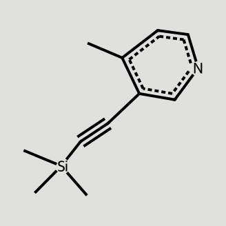 Cc1ccncc1C#C[Si](C)(C)C